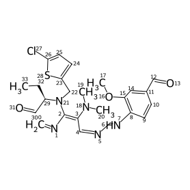 C=N/C(=C(\C=N/CNc1ccc(C=O)cc1OC)N(C)C)N(Cc1ccc(Cl)s1)[C@@H](C=O)CC